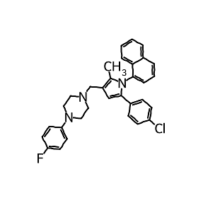 Cc1c(CN2CCN(c3ccc(F)cc3)CC2)cc(-c2ccc(Cl)cc2)n1-c1cccc2ccccc12